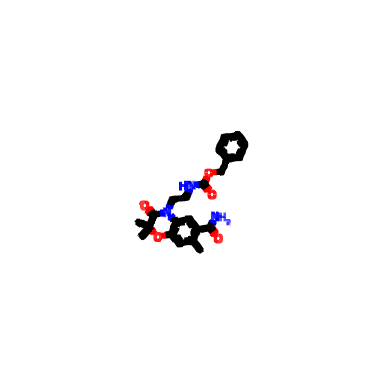 Cc1cc2c(cc1C(N)=O)N(CCNC(=O)OCc1ccccc1)C(=O)C(C)(C)O2